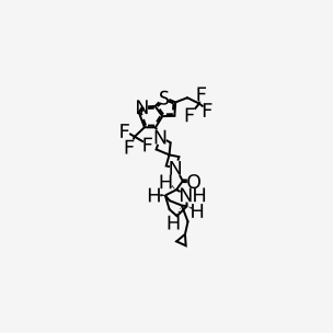 O=C([C@H]1N[C@H]2CC[C@H]1C[C@@H]2CC1CC1)N1CC2(C1)CN(c1c(C(F)(F)F)cnc3sc(CC(F)(F)F)cc13)C2